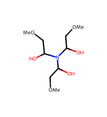 COCC(O)N(C(O)COC)C(O)COC